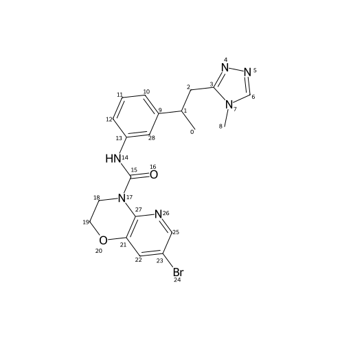 CC(Cc1nncn1C)c1cccc(NC(=O)N2CCOc3cc(Br)cnc32)c1